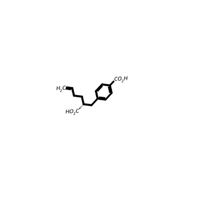 C=CCC[C@H](Cc1ccc(C(=O)O)cc1)C(=O)O